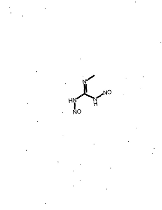 CN=C(NN=O)NN=O